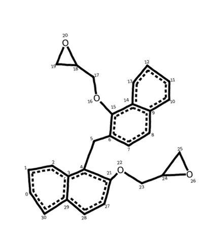 c1ccc2c(Cc3ccc4ccccc4c3OCC3CO3)c(OCC3CO3)ccc2c1